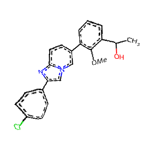 COc1c(-c2ccc3nc(-c4ccc(Cl)cc4)cn3c2)cccc1C(C)O